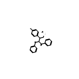 O=C(c1ccccc1)C(C(=O)c1ccccc1)C(C[N+](=O)[O-])c1ccc(Cl)cc1